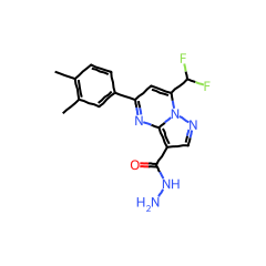 Cc1ccc(-c2cc(C(F)F)n3ncc(C(=O)NN)c3n2)cc1C